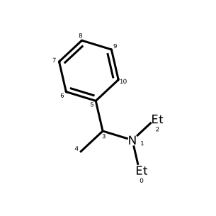 CCN(CC)C(C)c1ccccc1